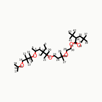 CCC(C)(CC(C)OC(C)(C)C(C)(C)COC(C)C)C(C)(C)OCCC(C)(C)OCCOC(=O)C(CC(C)(C)C)C(C)(C)C